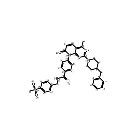 Cc1nc(N2CCC(Cc3ccccc3)CC2)nc2c1ccc(=O)n2-c1ccc(C(=O)NCc2ccc(S(C)(=O)=O)cc2)cc1